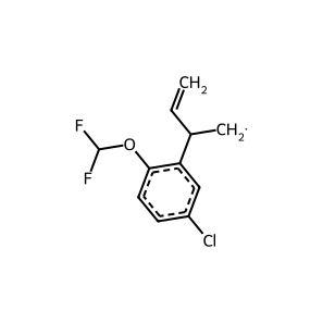 [CH2]C(C=C)c1cc(Cl)ccc1OC(F)F